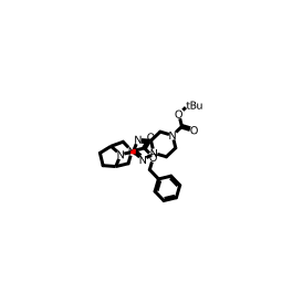 CC(C)(C)OC(=O)N1CCn2nc(N3C4CCC3CN(C(=O)OCc3ccccc3)C4)nc2C1